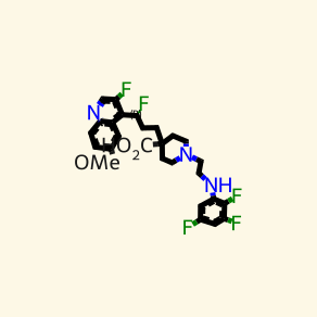 COc1ccc2ncc(F)c([C@H](F)CCC3(C(=O)O)CCN(CCNc4cc(F)cc(F)c4F)CC3)c2c1